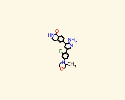 CC1COCCN1c1ccc(-c2cnc(N)c(-c3ccc4c(c3)CCNC4=O)c2)c(F)c1